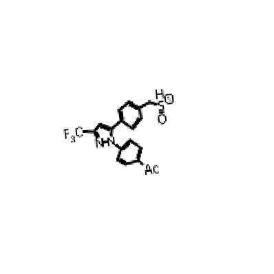 CC(=O)c1ccc(-n2nc(C(F)(F)F)cc2-c2ccc(C[SH](=O)=O)cc2)cc1